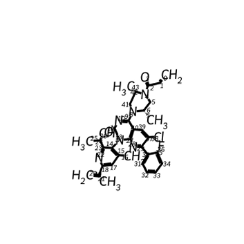 C=CC(=O)N1C[C@H](C)N(c2nc(=O)n(-c3c(C)cc(C(=C)C)nc3C(C)C)c3nc(-c4ccccc4F)c(Cl)cc23)C[C@H]1C